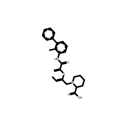 C=C(S/C(=C\C)CN1CCCCC1C(=O)O)C(=O)Nc1cccc(-c2ccccc2)c1C